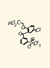 O=C(O)COc1ccc(Cl)cc1C(=O)c1cccc(S(=O)(=O)C(F)(F)F)c1